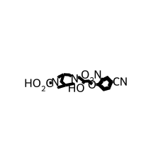 N#Cc1ccc(OCC(O)CN2CC3CC(C2)CN(C(=O)O)C3)c([N+](=O)[O-])c1